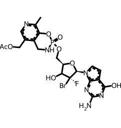 CC(=O)OCc1cnc(C)c2c1CNP(=O)(OC[C@H]1O[C@@H](n3ccc4c(O)nc(N)nc43)[C@@](F)(Br)C1O)O2